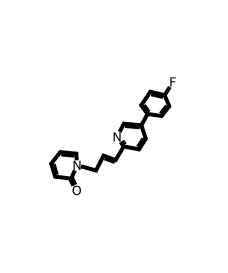 O=c1ccccn1CC=Cc1ccc(-c2ccc(F)cc2)cn1